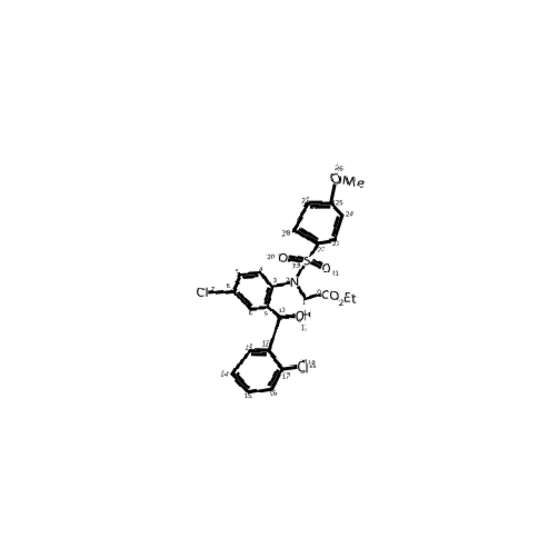 CCOC(=O)CN(c1ccc(Cl)cc1C(O)c1ccccc1Cl)S(=O)(=O)c1ccc(OC)cc1